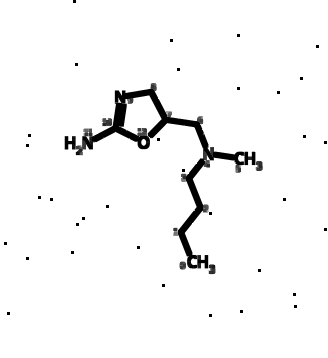 CCCCN(C)CC1CN=C(N)O1